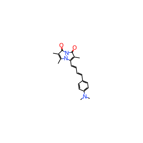 Cc1c(C)n2c(/C=C/C=C/c3ccc(N(C)C)cc3)c(C)c(=O)n2c1=O